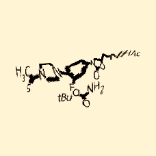 CC(=O)NCC1CN(c2ccc(N3CCN(C(C)=S)CC3)c(F)c2)C(=O)O1.CC(C)(C)OC(N)=O